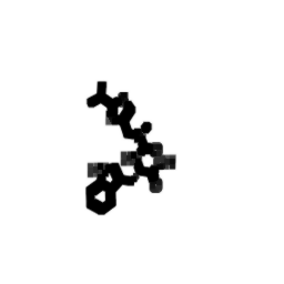 CC(C)c1nc(CN(C)C(=O)N[C@@H](Cc2c[nH]c3ccccc23)C(=O)O)cs1